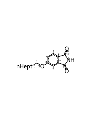 CCCCCCCCOc1ccc2c(c1)C(=O)NC2=O